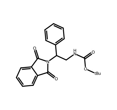 CC(C)(C)OC(=O)NCC(c1ccccc1)N1C(=O)c2ccccc2C1=O